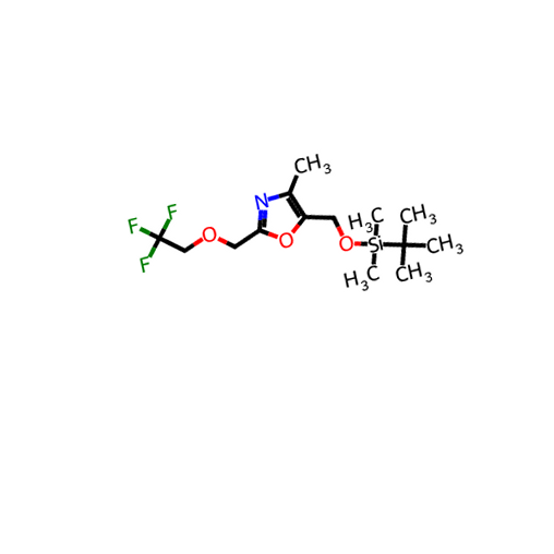 Cc1nc(COCC(F)(F)F)oc1CO[Si](C)(C)C(C)(C)C